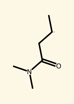 C[CH]CC(=O)N(C)C